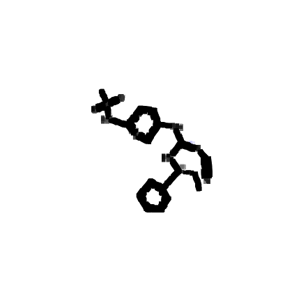 CC[C@@H](N/C(=N\C#N)Nc1ccc(NS(C)(=O)=O)nc1)c1ccccc1